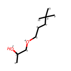 CC(O)COCCCC(C)(C)C